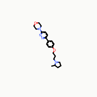 CC1CCCN1CCCOc1ccc(-c2ccc(N3CCOCC3)nn2)cc1